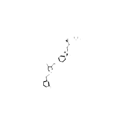 COC(=O)CCCS(=O)(=O)c1ccc(OCC2CN(CCc3cccc(Cl)c3)CC2C)cc1